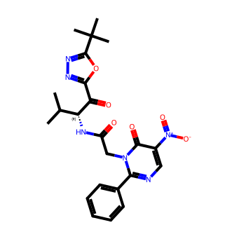 CC(C)[C@@H](NC(=O)Cn1c(-c2ccccc2)ncc([N+](=O)[O-])c1=O)C(=O)c1nnc(C(C)(C)C)o1